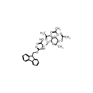 CC(=O)O[C@H]1[C@H](OC(C)=O)[C@@H](OC[C@H](NC(=O)OCC2c3ccccc3-c3ccccc32)C(=O)O)O[C@@H](C)[C@H]1OC(C)=O